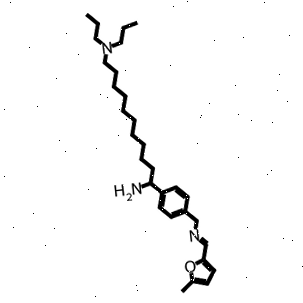 CCCN(CCC)CCCCCCCCCCC(N)c1ccc(CN=Cc2ccc(C)o2)cc1